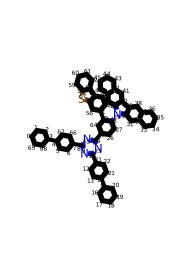 c1ccc(-c2ccc(-c3nc(-c4ccc(-c5ccccc5)cc4)nc(-c4ccc(-n5c6cc7ccccc7cc6c6cc7ccccc7cc65)c(-c5ccc6c(c5)sc5ccccc56)c4)n3)cc2)cc1